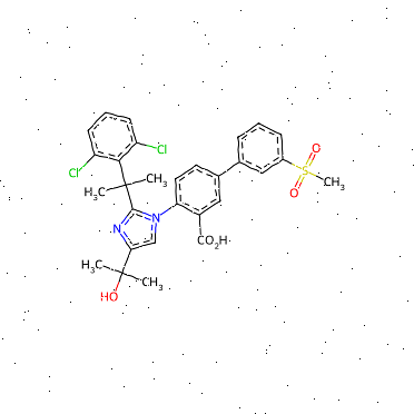 CC(C)(O)c1cn(-c2ccc(-c3cccc(S(C)(=O)=O)c3)cc2C(=O)O)c(C(C)(C)c2c(Cl)cccc2Cl)n1